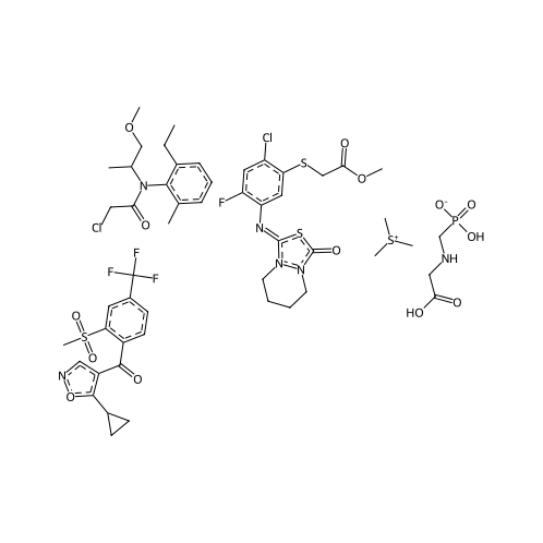 CCc1cccc(C)c1N(C(=O)CCl)C(C)COC.COC(=O)CSc1cc(/N=c2\sc(=O)n3n2CCCC3)c(F)cc1Cl.CS(=O)(=O)c1cc(C(F)(F)F)ccc1C(=O)c1cnoc1C1CC1.C[S+](C)C.O=C(O)CNCP(=O)([O-])O